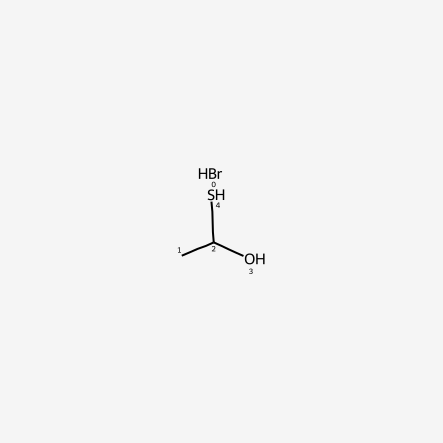 Br.CC(O)S